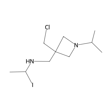 CC(I)NCC1(CCl)CN(C(C)C)C1